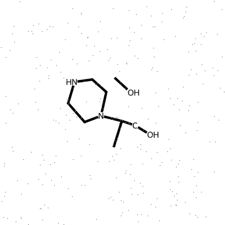 CC(CO)N1CCNCC1.CO